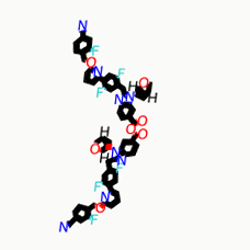 N#Cc1ccc(COc2cccc(-c3cc(F)c(Cc4nc5ccc(C(=O)OC(=O)c6ccc7nc(Cc8cc(F)c(-c9cccc(OCc%10ccc(C#N)cc%10F)n9)cc8F)n([C@H]8C[C@H]9CO[C@@H]8C9)c7c6)cc5n4[C@H]4C[C@H]5CO[C@@H]4C5)cc3F)n2)c(F)c1